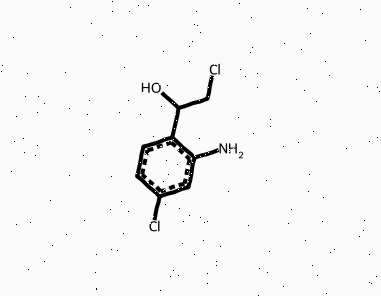 Nc1cc(Cl)ccc1C(O)CCl